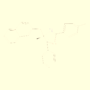 Cc1ccc(C2=N[C@@](C)(Cc3ccc4ccccc4c3)[C@](C)(c3ccccc3)O2)cc1